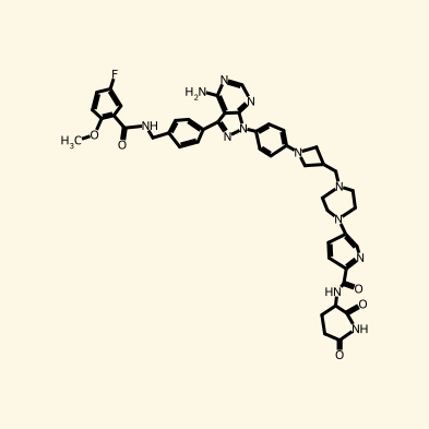 COc1ccc(F)cc1C(=O)NCc1ccc(-c2nn(-c3ccc(N4CC(CN5CCN(c6ccc(C(=O)NC7CCC(=O)NC7=O)nc6)CC5)C4)cc3)c3ncnc(N)c23)cc1